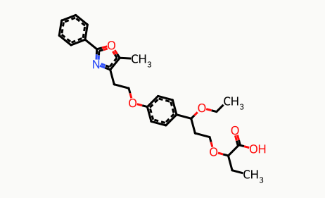 CCOC(CCOC(CC)C(=O)O)c1ccc(OCCc2nc(-c3ccccc3)oc2C)cc1